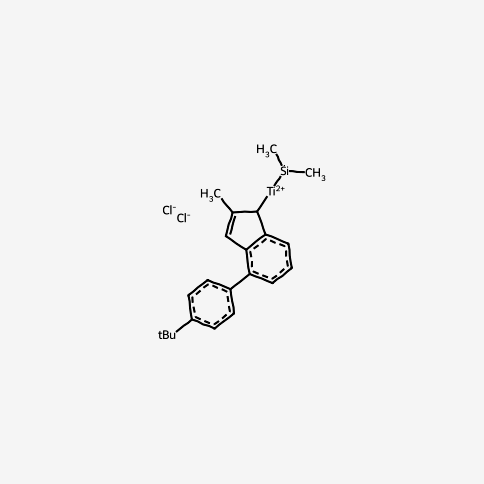 CC1=Cc2c(-c3ccc(C(C)(C)C)cc3)cccc2[CH]1[Ti+2][Si](C)C.[Cl-].[Cl-]